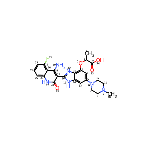 CC(Oc1cc(N2CCN(C)CC2)cc2[nH]c(-c3c(N)c4c(F)cccc4[nH]c3=O)nc12)C(=O)O